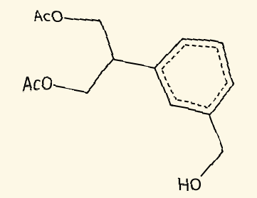 CC(=O)OCC(COC(C)=O)c1cccc(CO)c1